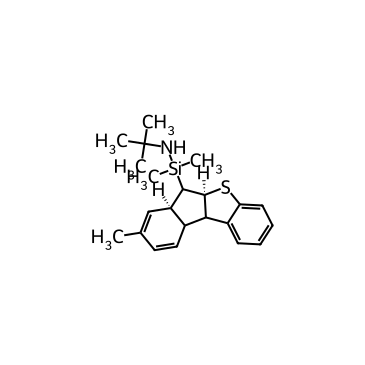 CC1=C[C@@H]2C(C=C1)C1c3ccccc3S[C@@H]1C2[Si](C)(C)NC(C)(C)C